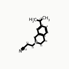 CC(C)c1ccc2c(c1)CN(CCC#N)CC2